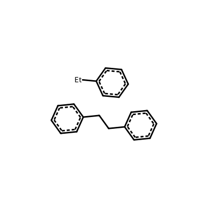 CCc1ccccc1.c1ccc(CCc2ccccc2)cc1